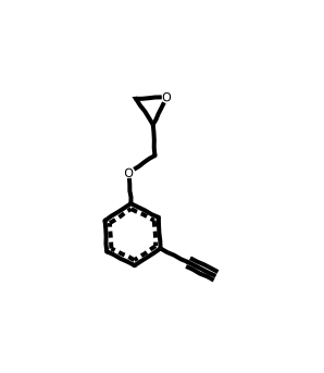 C#Cc1cccc(OCC2CO2)c1